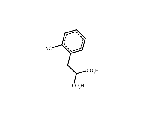 N#Cc1ccccc1CC(C(=O)O)C(=O)O